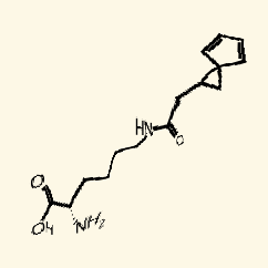 N[C@@H](CCCCNC(=O)CC1CC12C=CC=C2)C(=O)O